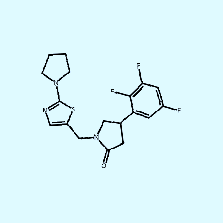 O=C1CC(c2cc(F)cc(F)c2F)CN1Cc1cnc(N2CCCC2)s1